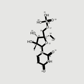 C[C@]1(O)C(n2ccc(=O)[nH]c2=O)O[C@](CF)(COP(=O)(O)O)[C@H]1O